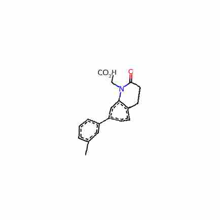 Cc1cccc(-c2ccc3c(c2)N(CC(=O)O)C(=O)CC3)c1